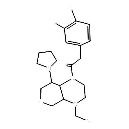 CC(=O)CN1CCN(C(=O)Cc2ccc(Cl)c(Cl)c2)C2C(N3CCCC3)COCC21